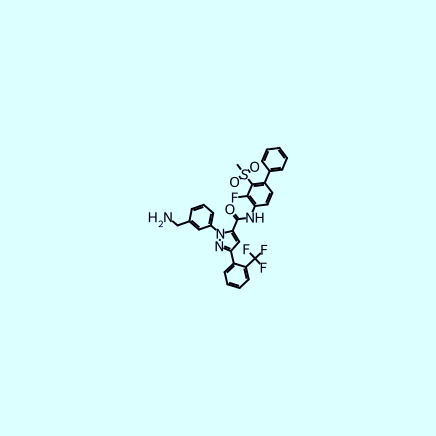 CS(=O)(=O)c1c(-c2ccccc2)ccc(NC(=O)c2cc(-c3ccccc3C(F)(F)F)nn2-c2cccc(CN)c2)c1F